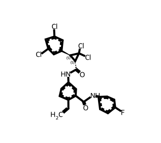 C=Cc1ccc(NC(=O)[C@@H]2[C@@H](c3cc(Cl)cc(Cl)c3)C2(Cl)Cl)cc1C(=O)Nc1ccc(F)cc1